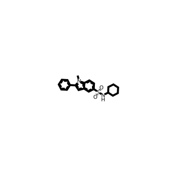 Cn1c(-c2ccccc2)cc2cc(S(=O)(=O)NC3CCCCC3)ccc21